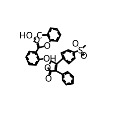 CS(=O)(=O)c1ccc(C2=C(c3ccccc3)C(=O)OC2)cc1.O=C(Oc1ccccc1C(=O)O)c1ccccc1O